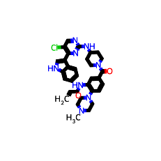 C=CC(=O)Nc1cc(C(=O)N2CCC(Nc3ncc(Cl)c(-c4c[nH]c5ccccc45)n3)CC2)ccc1N1CCN(C)CC1